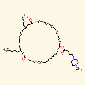 CCCCC1CCCCCCC(CCCC)CC(=O)OCCCCCCCCCCC(OC(=O)CCCN2CCN(C)CC2)CCCCCCCCCCOC(=O)C1